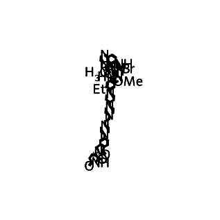 CCc1cc(Nc2ncc(Br)c(Nc3ccc4nccnc4c3NS(C)(=O)=O)n2)c(OC)cc1N1CCC(N2CCN(CCN3CCN(c4ccc5c(c4)CN([C@H]4CCC(=O)NC4=O)C5=O)CC3)CC2)CC1